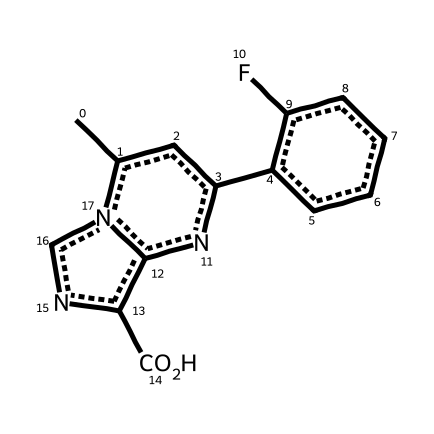 Cc1cc(-c2ccccc2F)nc2c(C(=O)O)ncn12